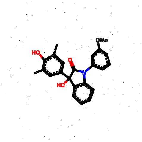 COc1cccc(N2C(=O)C(O)(c3cc(C)c(O)c(C)c3)c3ccccc32)c1